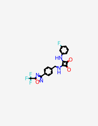 O=c1c(NCc2ccc(-c3noc(C(F)(F)F)n3)cc2)c(Nc2cccc(F)c2)c1=O